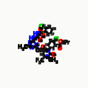 CC(C)OC(=O)c1cc(-n2c(=O)cc(C(F)(F)F)n(C)c2=O)ccc1Cl.COc1nc(C)nc(NC(=O)NS(=O)(=O)c2ccccc2Cl)n1